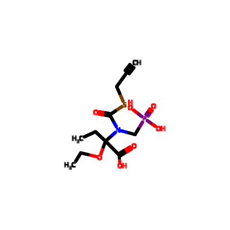 C#CCSC(=O)N(CP(=O)(O)O)C(CC)(OCC)C(=O)O